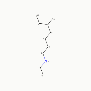 CC[N]CCCCC(C)CC